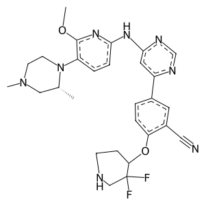 COc1nc(Nc2cc(-c3ccc(OC4CCNCC4(F)F)c(C#N)c3)ncn2)ccc1N1CCN(C)C[C@H]1C